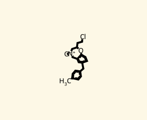 Cc1ccc(Cc2ccc3c(c2)C=[N+]([O-])CC(CCCl)O3)cc1